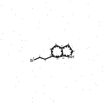 BrCCc1ccc2cc[nH]c2c1